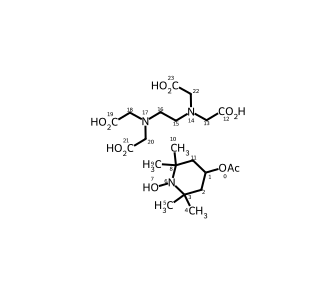 CC(=O)OC1CC(C)(C)N(O)C(C)(C)C1.O=C(O)CN(CCN(CC(=O)O)CC(=O)O)CC(=O)O